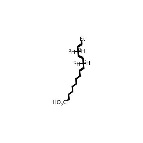 [2H]C([2H])(C=CCC)C=CC([2H])([2H])C=CCCCCCCCC(=O)O